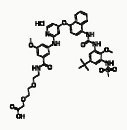 COc1cc(Nc2cc(Oc3ccc(NC(=O)Nc4cc(C(C)(C)C)cc(NS(C)(=O)=O)c4OC)c4ccccc34)ccn2)cc(C(=O)NCCOCCOCC(=O)O)c1.Cl